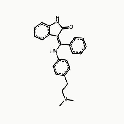 CN(C)CCc1ccc(NC(=C2C(=O)Nc3ccccc32)c2ccccc2)cc1